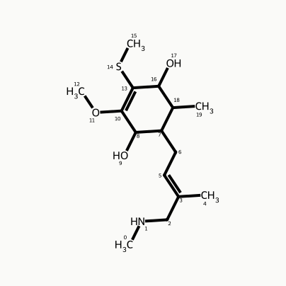 CNC/C(C)=C/CC1C(O)C(OC)=C(SC)C(O)C1C